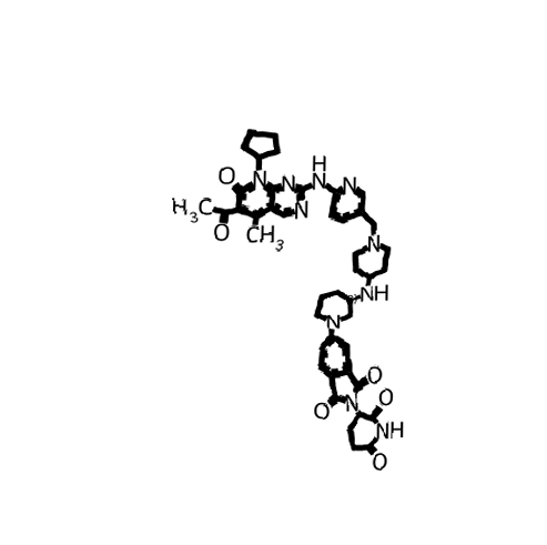 CC(=O)c1c(C)c2cnc(Nc3ccc(CN4CCC(N[C@@H]5CCCN(c6ccc7c(c6)C(=O)N(C6CCC(=O)NC6=O)C7=O)C5)CC4)cn3)nc2n(C2CCCC2)c1=O